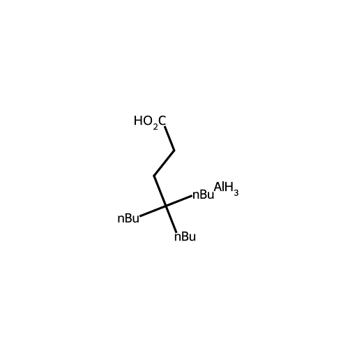 CCCCC(CCCC)(CCCC)CCC(=O)O.[AlH3]